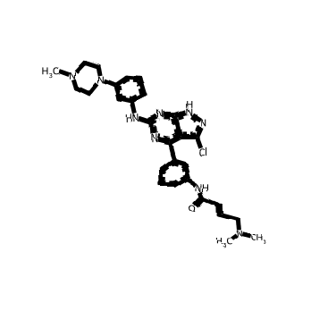 CN(C)C/C=C/C(=O)Nc1cccc(-c2nc(Nc3cccc(N4CCN(C)CC4)c3)nc3[nH]nc(Cl)c23)c1